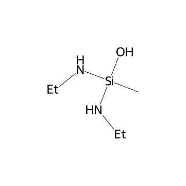 CCN[Si](C)(O)NCC